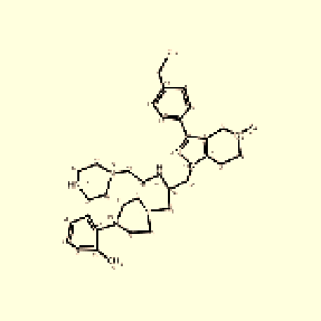 CC(=O)N1CCc2c(c(-c3ccc(CF)cc3)nn2CC(CN2CCN(c3ccccc3C)CC2)NCCN2CCNCC2)C1